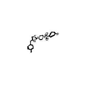 Cc1ccc(Cc2csc(N3CCN(S(=O)(=O)c4ccc(F)cc4)CC3)n2)cc1